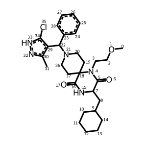 COCCN1C(=O)C(CC2CCCCC2)NC(=O)C12CCN(C(c1ccccc1)c1c(C)n[nH]c1Cl)CC2